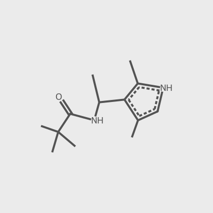 Cc1c[nH]c(C)c1C(C)NC(=O)C(C)(C)C